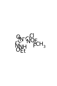 CCC(=O)Nc1nccc2c1CN(Cc1cnc(OCC(C)(F)F)c(Cl)c1)C2=O